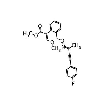 CO/C=C(/C(=O)OC)c1ccccc1CO/N=C(\C)C#Cc1ccc(F)cc1